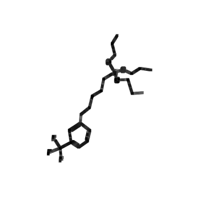 CCCO[Si](CCCCCc1cccc(C(F)(F)F)c1)(OCCC)OCCC